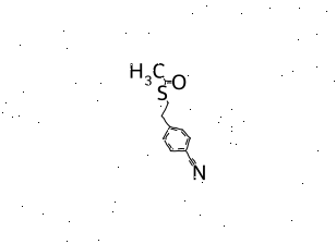 CC(=O)SCCc1ccc(C#N)cc1